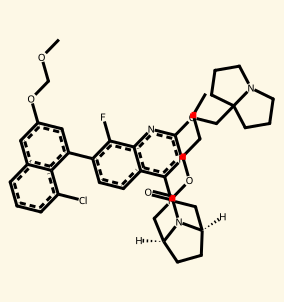 CCCCOC(=O)N1[C@@H]2CC[C@H]1CN(c1nc(OCC34CCCN3CCC4)nc3c(F)c(-c4cc(OCOC)cc5cccc(Cl)c45)ccc13)C2